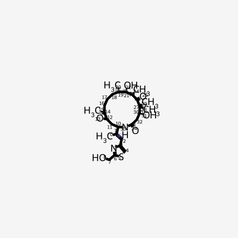 C/C(=C\c1csc(CO)n1)C1CC2O[C@]2(C)CCC[C@H](C)[C@H](O)[C@@H](C)C(=O)C(C)(C)[C@@H](O)CC(=O)N1